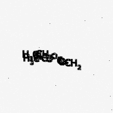 C=CC12CCC(c3cccc(OCOCC[Si](C)(C)C)c3)(CC1)CO2